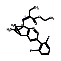 CCOC(=O)/C(=C\[C@@]12CCC(c3cc(-c4c(F)cccc4F)nnc31)C2(C)C)CC